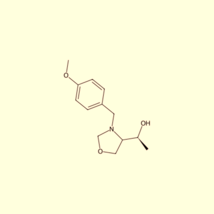 COc1ccc(CN2COCC2[C@H](C)O)cc1